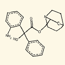 Nc1ccccc1C(O)(C(=O)OC1CC2CCN1CC2)c1ccccc1